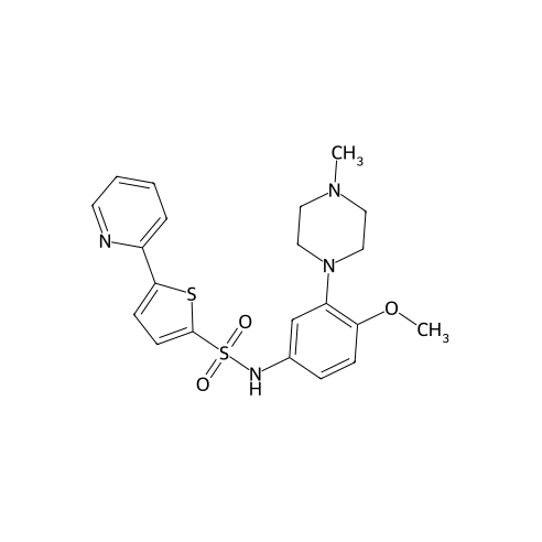 COc1ccc(NS(=O)(=O)c2ccc(-c3ccccn3)s2)cc1N1CCN(C)CC1